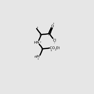 CCCC(NC(C)C(=O)Cl)C(=O)OCC